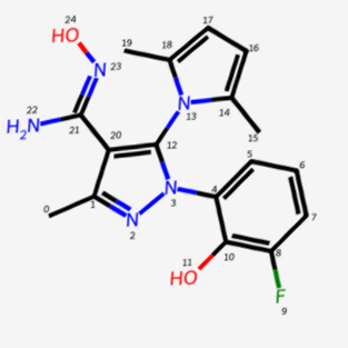 Cc1nn(-c2cccc(F)c2O)c(-n2c(C)ccc2C)c1C(N)=NO